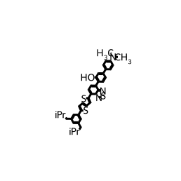 CC(C)Cc1cc(CC(C)C)cc(-c2cc3sc(-c4ccc(-c5ccc(-c6ccc(N(C)C)cc6)cc5O)c5nsnc45)cc3s2)c1